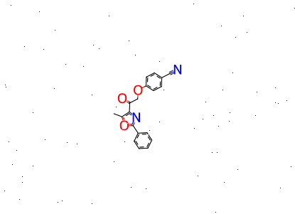 Cc1oc(-c2ccccc2)nc1C(=O)COc1ccc(C#N)cc1